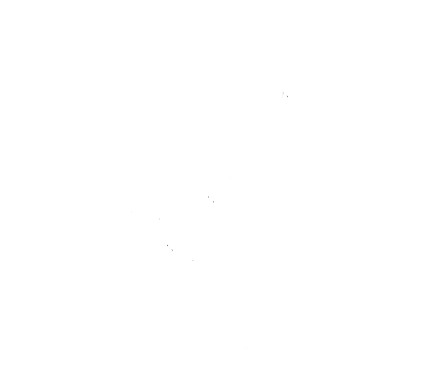 O=C(Cc1c[nH]c2ccccc12)N1CC(=O)N(Cc2cccc(C(F)(F)F)c2)[C@@H](CCc2ccccc2)C1